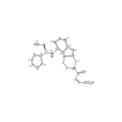 O=C(O)/C=C\C(=O)N1CCc2c(sc3ncnc(N[C@H](CO)c4ccccc4)c23)C1